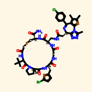 Cc1sc2c(c1C)C(c1ccc(Cl)cc1)=N[C@@H](CC(=O)NC[C@H]1NC(=O)CNC(=O)[C@H](Cc3ccc(Br)s3)NC(=O)[C@@H]3CCCN3C(=O)C(C(C)(C)C)NC(=O)CSC[C@H](C(N)=O)NC1=O)c1nnc(C)n1-2